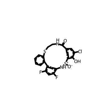 O=C1NCCSc2ccccc2-c2cc(c(F)cc2F)N[S+]([O-])c2cc1cc(Cl)c2O